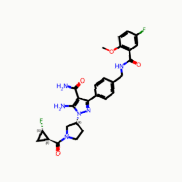 COc1ccc(F)cc1C(=O)NCc1ccc(-c2nn([C@@H]3CCN(C(=O)[C@H]4C[C@@H]4F)C3)c(N)c2C(N)=O)cc1